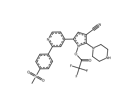 CS(=O)(=O)c1ccc(-c2cc(-c3cc(C#N)c(N4CCNCC4)n3OC(=O)C(F)(F)F)ccn2)cc1